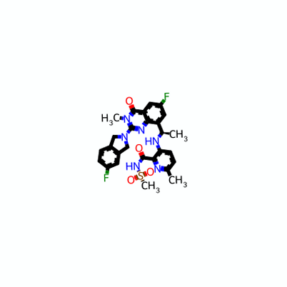 Cc1ccc(N[C@H](C)c2cc(F)cc3c(=O)n(C)c(N4Cc5ccc(F)cc5C4)nc23)c(C(=O)NS(C)(=O)=O)n1